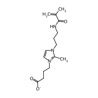 C=C(C)C(=O)NCCCn1cc[n+](CCCC(=O)[O-])c1C